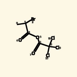 CC(Br)C(=O)OC(=O)C(Cl)(Cl)Cl